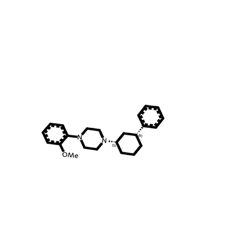 COc1ccccc1N1CCN([C@H]2CCC[C@@H](c3ccccc3)C2)CC1